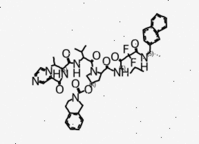 CCC[C@H](NC(=O)C1C[C@@H](OC(=O)N2CCc3ccccc3C2)CN1C(=O)C(NC(=O)[C@@H](NC(=O)c1cnccn1)C(C)C)C(C)C)C(=O)C(F)(F)C(=O)N[C@@H](C)c1ccc2ccccc2c1